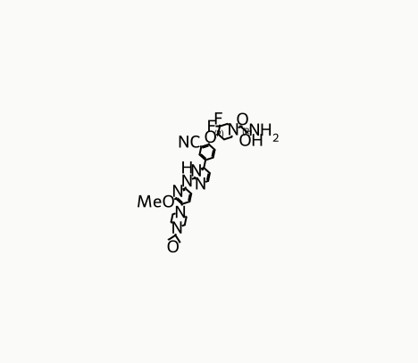 COc1nc(Nc2nccc(-c3ccc(O[C@@H]4CCN(C(=O)[C@H](N)O)CC4(F)F)c(C#N)c3)n2)ccc1N1CCN(C2COC2)CC1